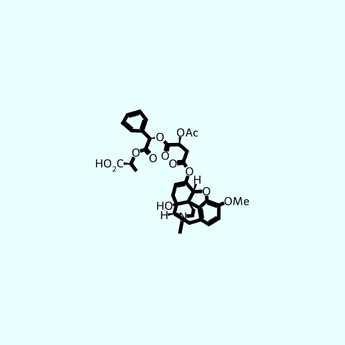 COc1ccc2c3c1O[C@H]1C(OC(=O)C[C@H](OC(C)=O)C(=O)O[C@H](C(=O)O[C@@H](C)C(=O)O)c4ccccc4)=CC[C@@]4(O)[C@@H](C2)N(C)CC[C@]314